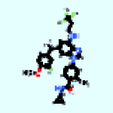 COc1ccc([C@@H](C)c2cc(NCCC(F)(F)F)c3ncn(-c4ccc(C(=O)NC5CC5)c(C)c4)c3c2)cc1F